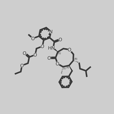 CCOCC(=O)OCOc1c(OC)ccnc1C(=O)N[C@H]1COC[C@H](CCC(C)C)[C@@H](Cc2ccccc2)[C@H](C)OC1=O